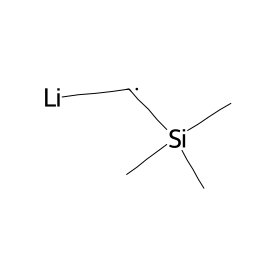 [Li][CH][Si](C)(C)C